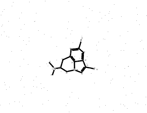 CN(C)C1Cc2cc(F)cc3c(F)cn(c23)C1